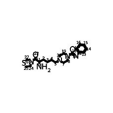 NC(CCCCN1CCN(c2nc3ccccc3o2)CC1)C(=O)N1CCSC1